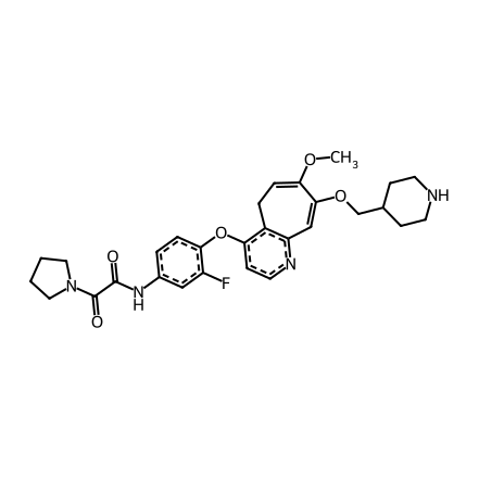 COC1=CCc2c(Oc3ccc(NC(=O)C(=O)N4CCCC4)cc3F)ccnc2C=C1OCC1CCNCC1